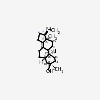 C/N=C1/CCC2C3CC[C@@H]4C[C@](C)(O)CC[C@@H]4C3CC[C@]12C